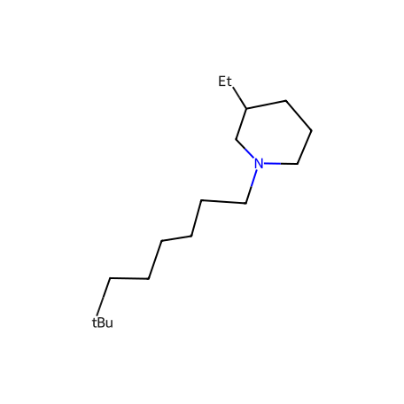 CCC1CCCN(CCCCCCC(C)(C)C)C1